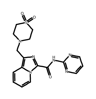 O=C(Nc1ncccn1)c1nc(CN2CCS(=O)(=O)CC2)c2ccccn12